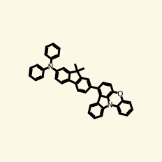 CC1(C)c2cc(-c3ccc4c5c3c3ccccc3n5-c3ccccc3O4)ccc2-c2ccc(N(c3ccccc3)c3ccccc3)cc21